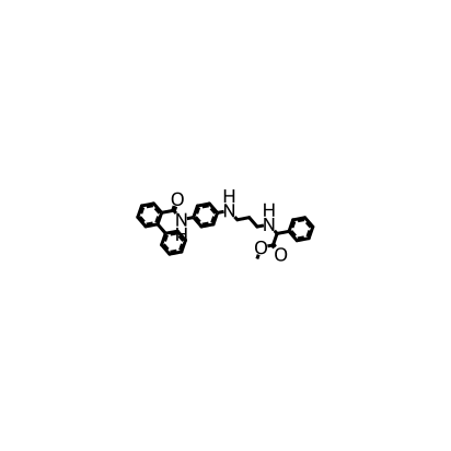 COC(=O)C(NCCCNc1ccc(NC(=O)c2ccccc2-c2ccccc2)cc1)c1ccccc1